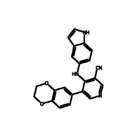 N#Cc1cncc(-c2ccc3c(c2)OCCO3)c1Nc1ccc2[nH]ccc2c1